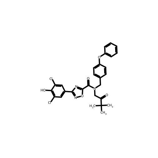 CC(C)(C)C(=O)CN(Cc1ccc(Oc2ccccc2)cc1)C(=O)c1nc(-c2cc(Cl)c(O)c(Cl)c2)no1